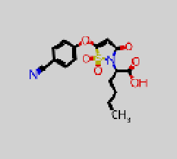 CCCCC(C(=O)O)N1C(=O)C=C(Oc2ccc(C#N)cc2)S1(=O)=O